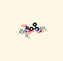 CN1C(=O)COc2nc(-c3ccc(C4(N(C(=O)O)C(C)(C)C)CC(O)C4)cc3)c(-c3ccccc3)cc21